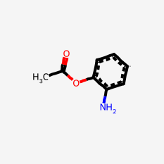 CC(=O)Oc1cc[c]cc1N